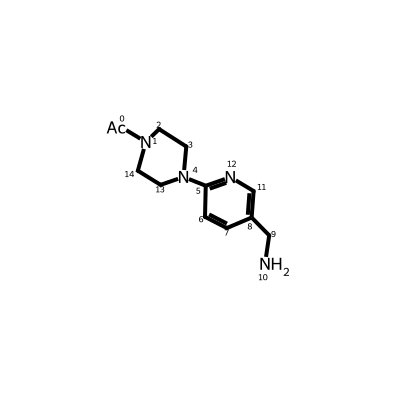 CC(=O)N1CCN(c2ccc(CN)cn2)CC1